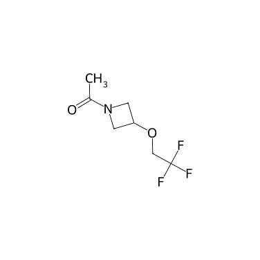 CC(=O)N1CC(OCC(F)(F)F)C1